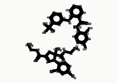 CCOC(=O)C1=NN(c2ccc(Cl)cc2Cl)C(C)(C(=O)OCC)C1.O=C(Nc1ccc(F)cc1F)c1cccnc1Oc1cccc(C(F)(F)F)c1